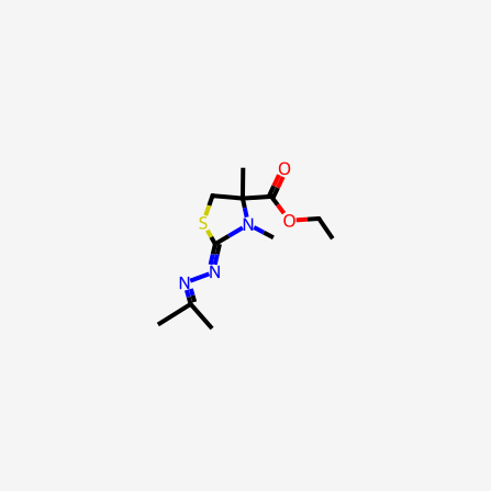 CCOC(=O)C1(C)CSC(=NN=C(C)C)N1C